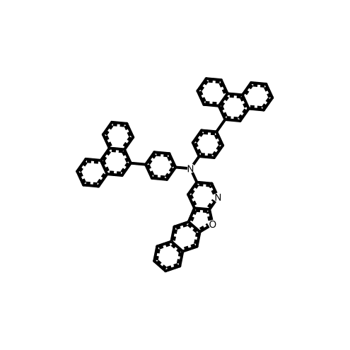 c1ccc2cc3c(cc2c1)oc1ncc(N(c2ccc(-c4cc5ccccc5c5ccccc45)cc2)c2ccc(-c4cc5ccccc5c5ccccc45)cc2)cc13